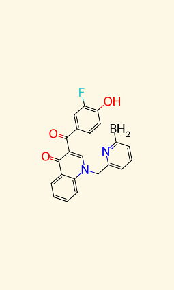 Bc1cccc(Cn2cc(C(=O)c3ccc(O)c(F)c3)c(=O)c3ccccc32)n1